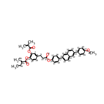 C=C(C)C(=O)Oc1cc(CCC(=O)Oc2ccc(-c3ccc4cc(-c5ccc(OC)cc5)ccc4c3)cc2)ccc1OC(=O)C(=C)CC